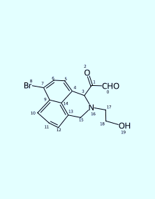 O=CC(=O)C1c2ccc(Br)c3cccc(c23)CN1CCO